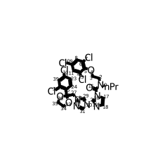 CCCN(CCOc1c(Cl)cc(Cl)cc1Cl)C(=O)n1ccnc1.Clc1ccc(C2(Cn3cncn3)OCCO2)c(Cl)c1